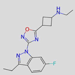 CCNC1CC(c2nc(-n3nc(CC)c4ccc(F)cc43)no2)C1